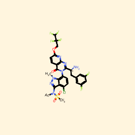 CC(=O)N(c1nn(C)c2c(-n3c([C@@H](N)Cc4cc(F)cc(F)c4)nc4nc(OCC(F)(F)C(F)F)ccc4c3=O)ccc(Cl)c12)S(C)(=O)=O